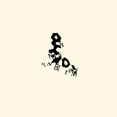 Nc1c(Br)c([C@H]2CC[C@@H](Cc3nnn[nH]3)CC2)nc2c(-c3cnc4ccccc4c3)cnn12